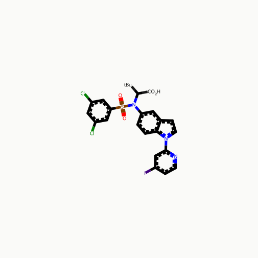 CC(C)(C)C(C(=O)O)N(c1ccc2c(ccn2-c2cc(I)ccn2)c1)S(=O)(=O)c1cc(Cl)cc(Cl)c1